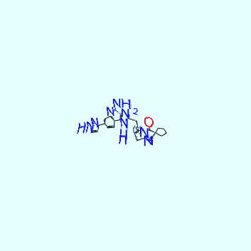 N#CC1(C(=O)N2CCC[C@H]2Cc2nc3c(N)nc4cc(-c5cc[nH]n5)ccc4c3[nH]2)CCCC1